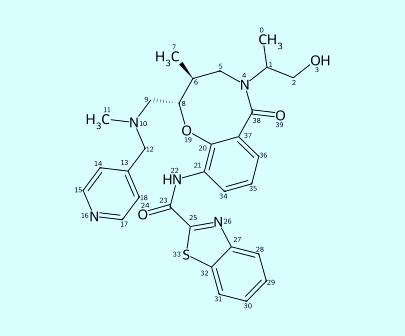 CC(CO)N1C[C@H](C)[C@@H](CN(C)Cc2ccncc2)Oc2c(NC(=O)c3nc4ccccc4s3)cccc2C1=O